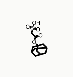 O=C(CS(=O)(=O)O)OC12CC3CC(CC(C3)C1)C2